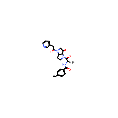 C=Cc1ccc(C(=O)NC(CCC)C(=O)N2CCC3C2C(=O)CN3C(=O)Cc2cccnc2)cc1